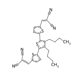 CCCCc1c(-c2ccc(C=C(C#N)C#N)s2)sc(-c2ccc(C=C(C#N)C#N)s2)c1CCCC